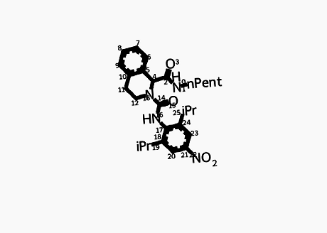 CCCCCNC(=O)C1c2ccccc2CCN1C(=O)Nc1c(C(C)C)cc([N+](=O)[O-])cc1C(C)C